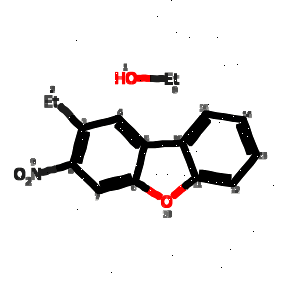 CCO.CCc1cc2c(cc1[N+](=O)[O-])oc1ccccc12